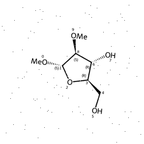 CO[C@H]1O[C@H](CO)[C@@H](O)[C@@H]1OC